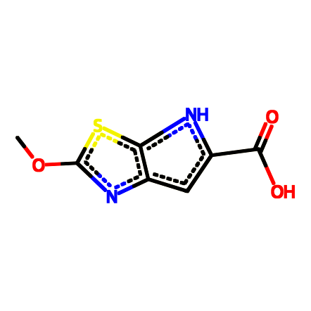 COc1nc2cc(C(=O)O)[nH]c2s1